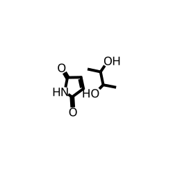 CC(O)C(C)O.O=C1C=CC(=O)N1